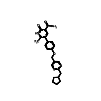 NC(=O)c1cc(-c2ccc(OCc3cnc(CC4CCCC4)nc3)cc2)c(C(F)(F)F)[nH]c1=O